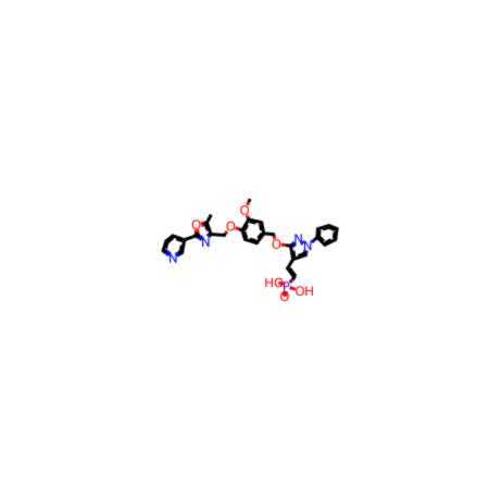 COc1cc(COc2nn(-c3ccccc3)cc2C=CP(=O)(O)O)ccc1OCc1nc(-c2cccnc2)oc1C